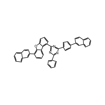 c1ccc(-c2nc(-c3ccc(-c4ccc5ccccc5c4)cc3)nc(-c3cccc4oc5c(-c6ccc7ccccc7c6)cccc5c34)n2)cc1